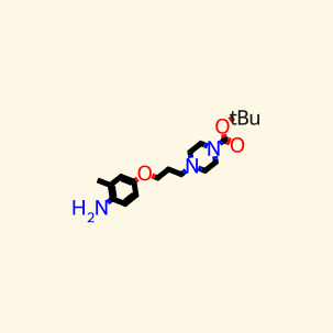 Cc1cc(OCCCN2CCN(C(=O)OC(C)(C)C)CC2)ccc1N